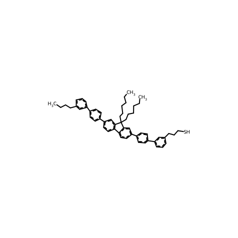 CCCCCCC1(CCCCCC)c2cc(-c3ccc(-c4cccc(CCCC)c4)cc3)ccc2-c2ccc(-c3ccc(-c4cccc(CCCS)c4)cc3)cc21